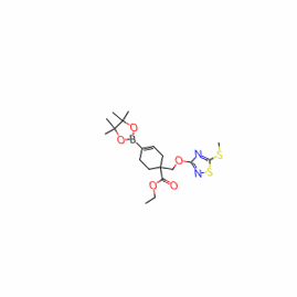 CCOC(=O)C1(COc2nsc(SC)n2)CC=C(B2OC(C)(C)C(C)(C)O2)CC1